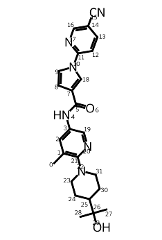 Cc1cc(NC(=O)c2ccn(-c3ccc(C#N)cn3)c2)cnc1N1CCC(C(C)(C)O)CC1